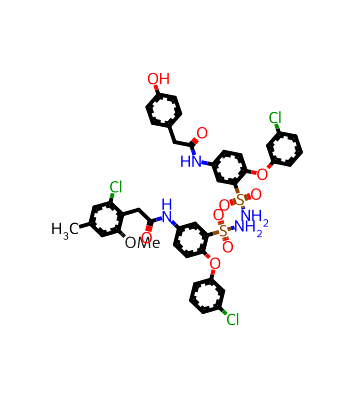 COc1cc(C)cc(Cl)c1CC(=O)Nc1ccc(Oc2cccc(Cl)c2)c(S(N)(=O)=O)c1.NS(=O)(=O)c1cc(NC(=O)Cc2ccc(O)cc2)ccc1Oc1cccc(Cl)c1